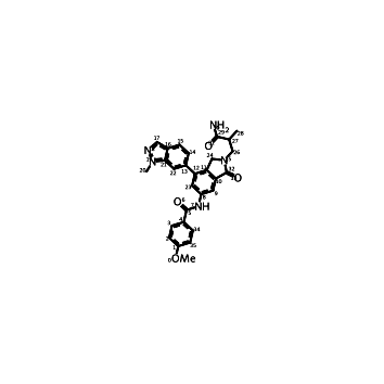 COc1ccc(C(=O)Nc2cc3c(c(-c4ccc5cnn(C)c5c4)c2)CN(CC(C)C(N)=O)C3=O)cc1